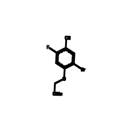 COCOc1cc(F)c(C#N)cc1Br